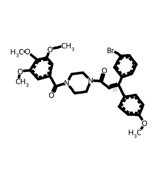 COc1ccc(/C(=C/C(=O)N2CCN(C(=O)c3cc(OC)c(OC)c(OC)c3)CC2)c2cccc(Br)c2)cc1